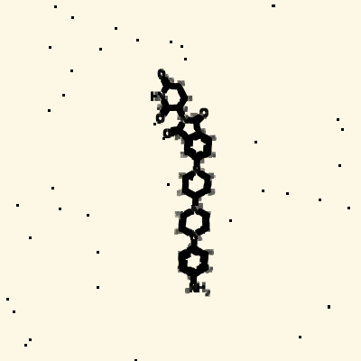 Nc1ccc(N2CCN(C3CCN(c4ccc5c(c4)C(=O)N(C4CCC(=O)NC4=O)C5=O)CC3)CC2)cc1